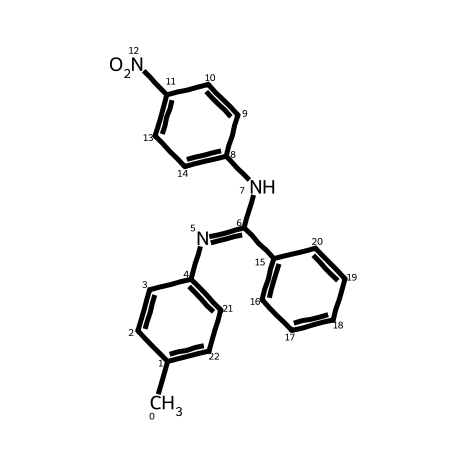 Cc1ccc(/N=C(/Nc2ccc([N+](=O)[O-])cc2)c2ccccc2)cc1